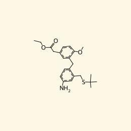 CCOC(=O)Cc1ccc(OC)c(Cc2ccc(N)cc2CSC(C)(C)C)c1